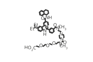 CCN(CC)c1ccc(NC(=O)c2cccc(C(=O)N(C)CCN3CCN(C(=O)N(C)CCOCCOCCOCCC(=O)O)CC3)c2)c(-c2cc(C(=O)N[C@H]3CCCc4ccccc43)ccn2)c1